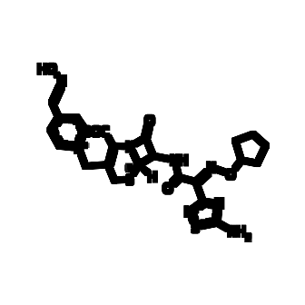 Nc1nc(C(=NOC2CCCC2)C(=O)NC2C(=O)N3C(C(=O)[O-])=C(C[n+]4ccc(C=NO)cc4)CS[C@@H]23)ns1